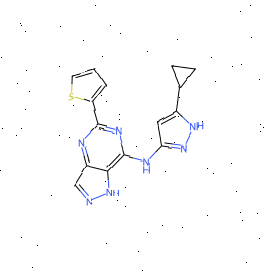 c1csc(-c2nc(Nc3cc(C4CC4)[nH]n3)c3[nH]ncc3n2)c1